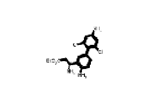 CCOC(=O)C[C@H](N)c1cc(-c2c(Cl)cc(N)cc2Cl)ccc1N